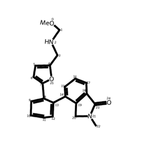 COCNCc1ccc(-c2ccccc2-c2cccc3c2CN(C)C3=O)o1